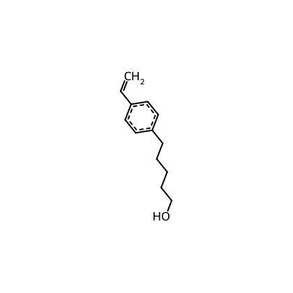 C=Cc1ccc(CCCCCO)cc1